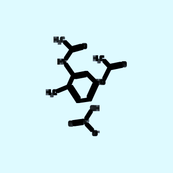 CC(=O)Nc1ccccc1C.CC(=O)O.O=[N+]([O-])O